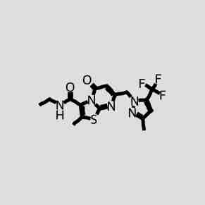 CCNC(=O)c1c(C)sc2nc(Cn3nc(C)cc3C(F)(F)F)cc(=O)n12